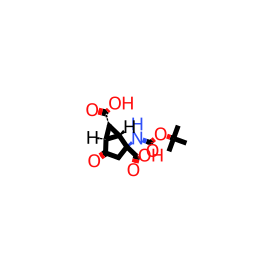 CC(C)(C)OC(=O)N[C@@]1(C(=O)O)CC(=O)[C@H]2[C@H](C(=O)O)[C@@H]21